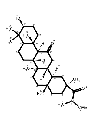 CON(C)C(=O)[C@@]1(C)CC[C@]2(C)CC[C@]3(C)[C@H](CC(=O)[C@@H]4[C@@]5(C)CC[C@H](O)C(C)(C)C5CC[C@]43C)[C@H]2C1